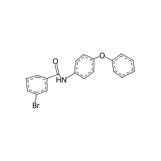 O=C(Nc1ccc(Oc2ccccc2)cc1)c1cccc(Br)c1